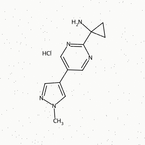 Cl.Cn1cc(-c2cnc(C3(N)CC3)nc2)cn1